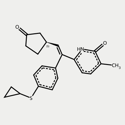 Cc1ccc(C(=C[C@H]2CCC(=O)C2)c2ccc(SC3CC3)cc2)[nH]c1=O